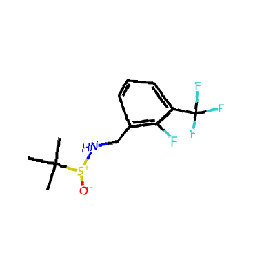 CC(C)(C)[S+]([O-])NCc1cccc(C(F)(F)F)c1F